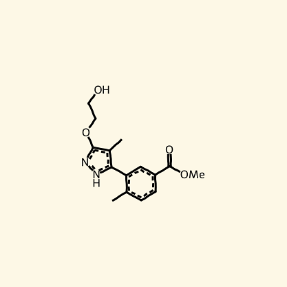 COC(=O)c1ccc(C)c(-c2[nH]nc(OCCO)c2C)c1